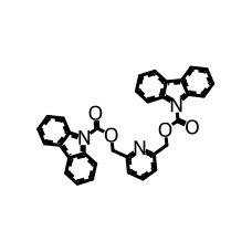 O=C(OCc1cccc(COC(=O)n2c3ccccc3c3ccccc32)n1)n1c2ccccc2c2ccccc21